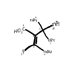 CCCCC(F)=C(C(=O)O)C(CCC)(CCC)CCC